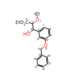 CCOC(=O)C(OCC)C(O)c1cccc(OCc2ccccc2)c1